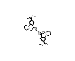 O=C(O)c1ccc(C(=O)OCCOC(=O)c2ccc(C(=O)O)cc2C2CCCCC2)c(C2CCCCC2)c1